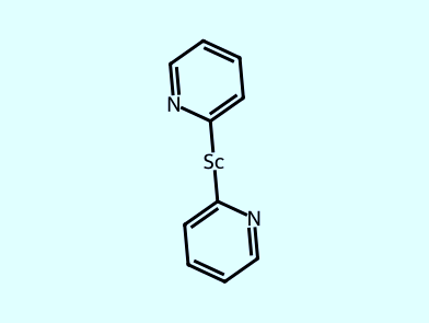 c1cc[c]([Sc][c]2ccccn2)nc1